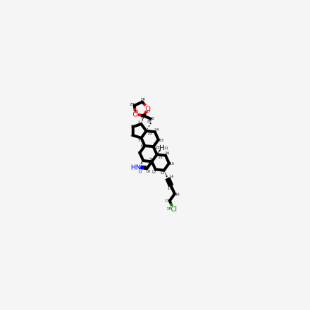 CC1([C@H]2CCC3C4CCC5(C=N)C[C@@H](C#CCCCl)CC[C@@H]5C4CC[C@@]32C)OCCO1